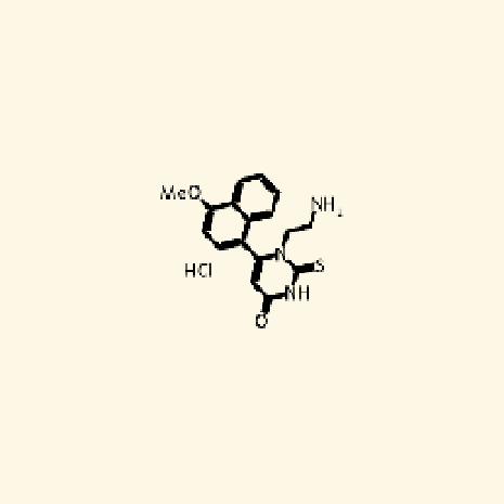 COc1ccc(-c2cc(=O)[nH]c(=S)n2CCN)c2ccccc12.Cl